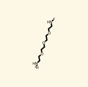 [3H]NCCOCCOCCOCCNF